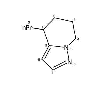 CCCC1CCCn2nccc21